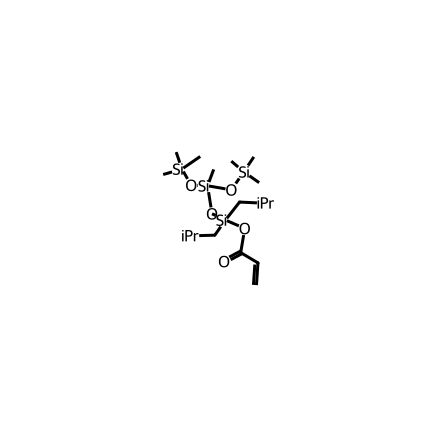 C=CC(=O)O[Si](CC(C)C)(CC(C)C)O[Si](C)(O[Si](C)(C)C)O[Si](C)(C)C